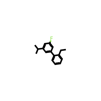 CCc1ccccc1-c1cc(F)cc(C(C)C)c1